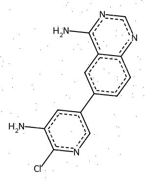 Nc1cc(-c2ccc3ncnc(N)c3c2)cnc1Cl